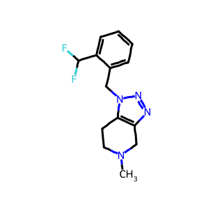 CN1CCc2c(nnn2Cc2ccccc2C(F)F)C1